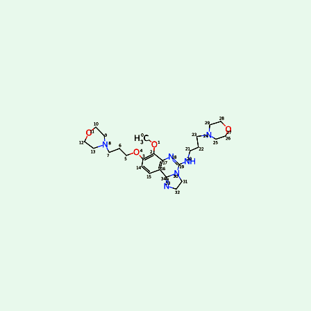 COc1c(OCCCN2CCOCC2)ccc2c1N=C(NCCCN1CCOCC1)N1CCN=C21